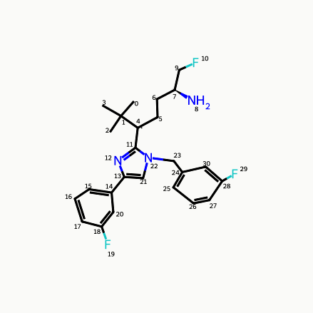 CC(C)(C)[C](CC[C@H](N)CF)c1nc(-c2cccc(F)c2)cn1Cc1cccc(F)c1